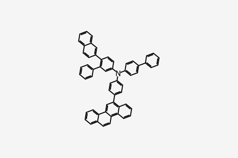 c1ccc(-c2ccc(N(c3ccc(-c4cc5c6ccccc6ccc5c5ccccc45)cc3)c3ccc(-c4ccc5ccccc5c4)c(-c4ccccc4)c3)cc2)cc1